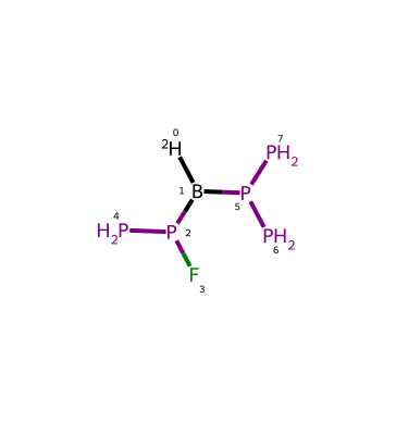 [2H]B(P(F)P)P(P)P